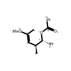 CO/C(C)=C/[C@H](C)[C@H](OC(=O)C(C)C)C(C)C